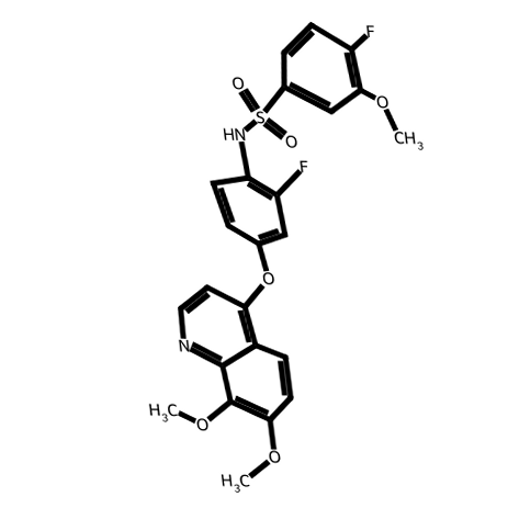 COc1cc(S(=O)(=O)Nc2ccc(Oc3ccnc4c(OC)c(OC)ccc34)cc2F)ccc1F